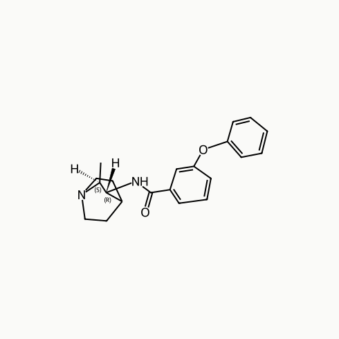 C[C@H]1[C@H](NC(=O)c2cccc(Oc3ccccc3)c2)C2CCN1CC2